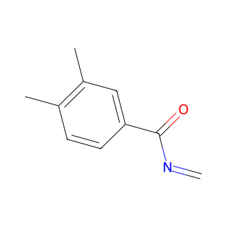 C=NC(=O)c1ccc(C)c(C)c1